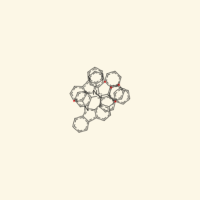 c1ccc(-c2ccccc2-n2c3ccccc3c3cccc(-n4c5ccccc5c5ccc(-c6ccccc6)c([Si](c6ccccc6)(c6ccccc6)c6ccccc6)c54)c32)cc1